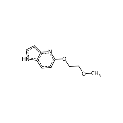 COCCOc1ccc2[nH]ccc2n1